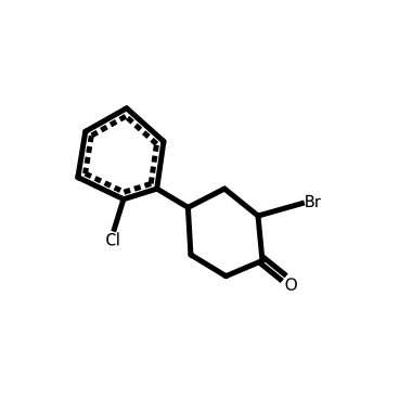 O=C1CCC(c2ccccc2Cl)CC1Br